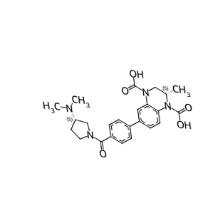 C[C@H]1CN(C(=O)O)c2cc(-c3ccc(C(=O)N4CC[C@H](N(C)C)C4)cc3)ccc2N1C(=O)O